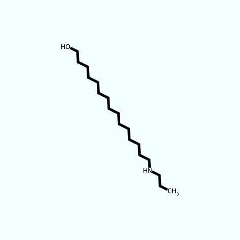 CCCNCCCCCCCCCCCCCCCO